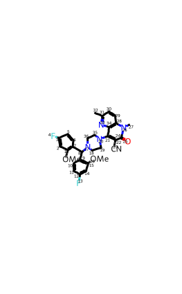 COc1cc(F)ccc1C(c1ccc(F)cc1OC)N1CCN(c2c(C#N)c(=O)n(C)c3ccc(C)nc23)CC1